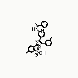 Cc1cccc(-c2nc(-c3ccc(C)cc3S(=O)(=O)O)sc2-c2ccnc(N[C@@H](C)c3ccccc3)c2)c1